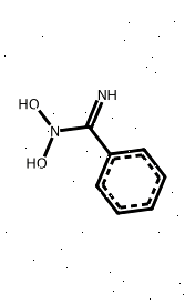 N=C(c1ccccc1)N(O)O